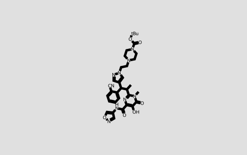 CC(c1nc(C(=O)Nc2cnoc2)c(O)c(=O)n1C)C(c1cnn(CCN2CCN(C(=O)OC(C)(C)C)CC2)c1)c1ccccc1C#N